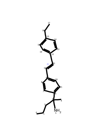 CCCC(C)(N)c1ccc(/C=C/c2ccc(CC)cc2)cc1